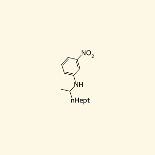 CCCCCCCC(C)Nc1cccc([N+](=O)[O-])c1